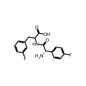 N[C@H](C(=O)NC(Cc1cccc(F)c1)C(=O)O)c1ccc(F)cc1